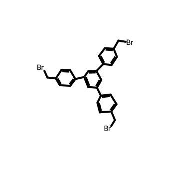 BrCc1ccc(-c2cc(-c3ccc(CBr)cc3)cc(-c3ccc(CBr)cc3)c2)cc1